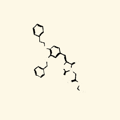 CCOC(=O)CN1C(=O)C(=Cc2ccc(OCCc3ccccc3)c(OCc3ccccc3)c2)SC1=S